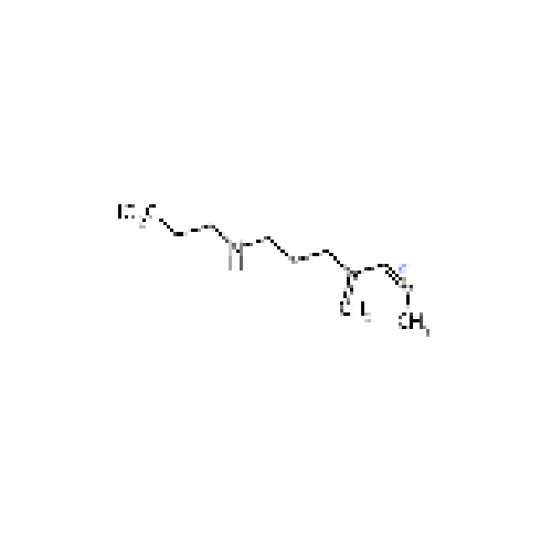 C=C(/C=C\C)CCCNCCC(=O)O